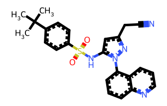 CC(C)(C)c1ccc(S(=O)(=O)Nc2cc(CC#N)nn2-c2cccc3ncccc23)cc1